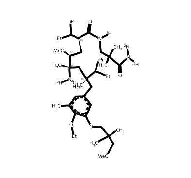 [2H]N([2H])C(=O)C(C)(C)CN([2H])C(=O)[C@@H](C[C@H](OC)[C@](C)(C[C@](C)(Cc1cc(C)c(OCC)c(OCC(C)(C)COC)c1)C(CC)C(C)C)N([2H])C)C(CC)C(C)C